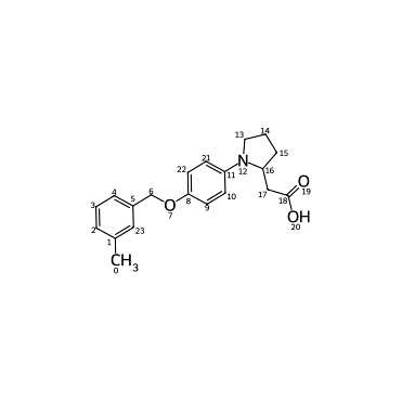 Cc1cccc(COc2ccc(N3CCCC3CC(=O)O)cc2)c1